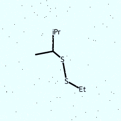 CCSSC(C)C(C)C